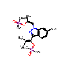 COc1ccc2c(C(OP(=O)(OC)OC)=C(C)C)nn(C=C(OP(=O)(OC)OC)C(C)(C)C)c2c1